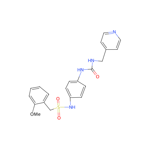 COc1ccccc1CS(=O)(=O)Nc1ccc(NC(=O)NCc2ccncc2)cc1